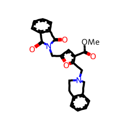 COC(=O)c1cc(CN2C(=O)c3ccccc3C2=O)oc1CN1CCc2ccccc2C1